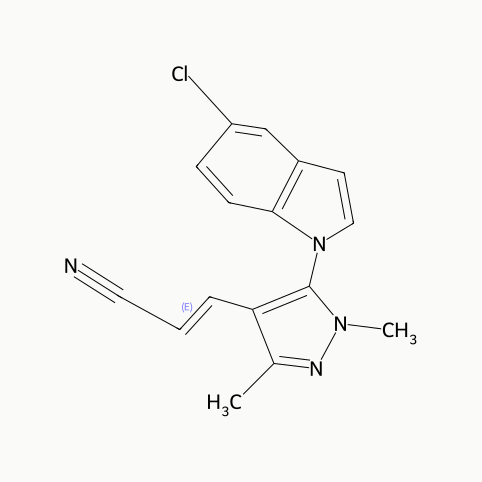 Cc1nn(C)c(-n2ccc3cc(Cl)ccc32)c1/C=C/C#N